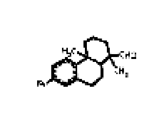 CC(C)c1ccc2c(c1)CCC1C(C)(C=O)CCCC21C